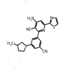 CC1CCN(c2cc(C#N)cc(-c3nc(-c4nccs4)cc(N)c3C#N)c2)C1